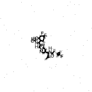 CC(C)(C)OC(=O)N[C@H](c1cn2ncc([C@H](NC(=O)C[C@]34C[C@](F)(C3)C4)C3CC3)cc2n1)C1CCC(F)(F)CC1